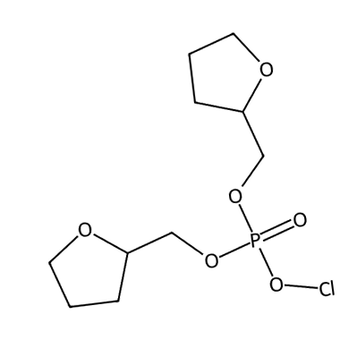 O=P(OCl)(OCC1CCCO1)OCC1CCCO1